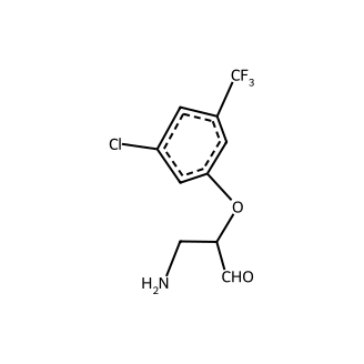 NCC(C=O)Oc1cc(Cl)cc(C(F)(F)F)c1